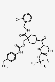 CCc1ccc(NC(=O)OCC2(C(=O)NCc3ccccc3Cl)CCN(C(=O)C(CO)NC(=O)OC(C)(C)C)CC2)cc1